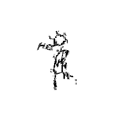 C#Cc1cn2cc(-c3ccccc3O)nc2nc1N